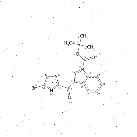 CC(C)(C)OC(=O)n1cc(C(=O)c2nc(Br)cs2)c2ccccc21